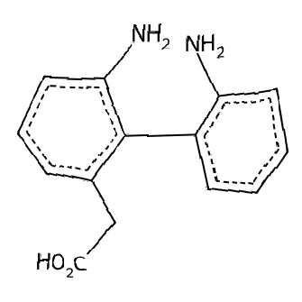 Nc1ccccc1-c1c(N)cccc1CC(=O)O